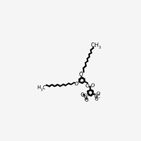 CCCCCCCCCCCCOc1cc(COC(=O)c2cc([N+](=O)[O-])cc([N+](=O)[O-])c2)cc(OCCCCCCCCCCCC)c1